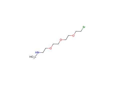 O=C(O)NCCOCCOCCOCCBr